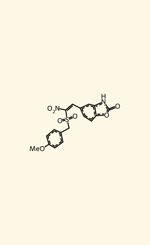 COc1ccc(CS(=O)(=O)/C(=C\c2ccc3oc(=O)[nH]c3c2)[N+](=O)[O-])cc1